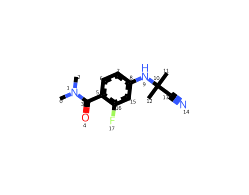 CN(C)C(=O)c1ccc(NC(C)(C)C#N)cc1F